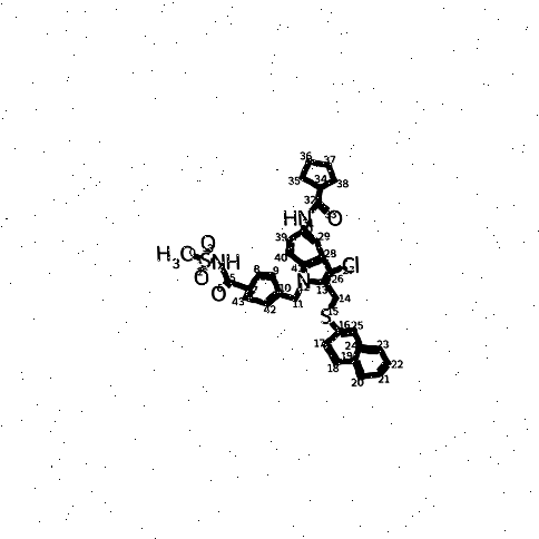 CS(=O)(=O)NC(=O)c1ccc(Cn2c(CSc3ccc4ccccc4c3)c(Cl)c3cc(NC(=O)C4CCCC4)ccc32)cc1